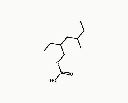 CCC(C)CC(CC)CO[Si](=O)O